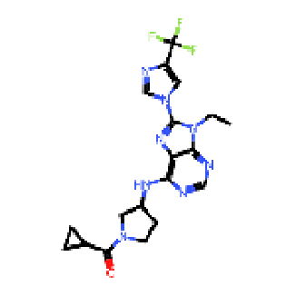 CCn1c(-n2cnc(C(F)(F)F)c2)nc2c(NC3CCN(C(=O)C4CC4)C3)ncnc21